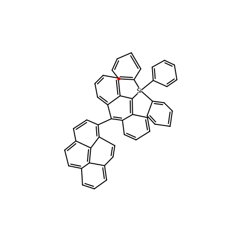 c1ccc([Si](c2ccccc2)(c2ccccc2)c2c3ccccc3c(-c3ccc4ccc5cccc6ccc3c4c56)c3ccccc23)cc1